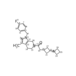 Cc1nn(Cc2ccc(F)cc2)c2c1CCN(C(=O)CC1CC(N3CCC3)C1)C2